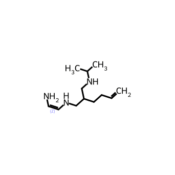 C=CCCC(CN/C=C\N)CNC(C)C